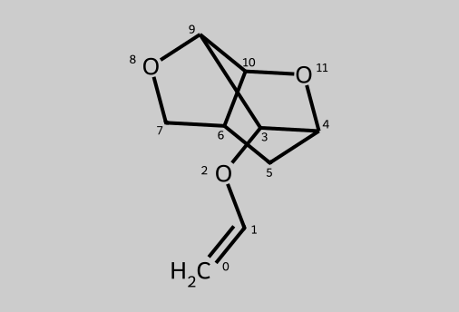 C=COC1C2CC3COC1C3O2